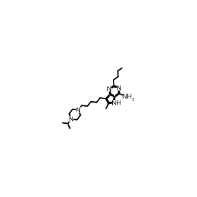 CCCCc1nc(N)c2[nH]c(C)c(CCCCCN3CCN(C(C)C)CC3)c2n1